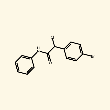 O=C(Nc1ccccc1)C(Cl)c1ccc(Br)cc1